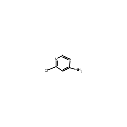 Nc1cc(Cl)n[c]n1